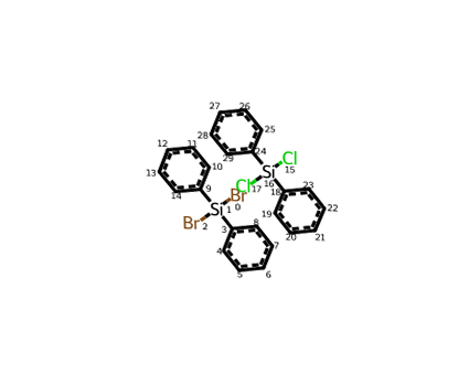 Br[Si](Br)(c1ccccc1)c1ccccc1.Cl[Si](Cl)(c1ccccc1)c1ccccc1